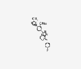 COc1cc(-c2nnc3n2CCCN3Cc2ccc(F)cc2)ccc1-n1cnc(C)c1